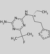 CC[C@H](CCc1cccs1)Nc1nc(N)nc(C(C)(C)F)n1